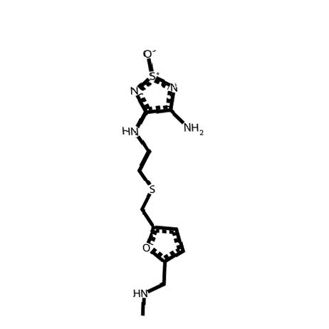 CNCc1ccc(CSCCNc2n[s+]([O-])nc2N)o1